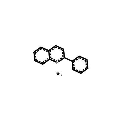 N.c1ccc(-c2ccc3ccccc3n2)cc1